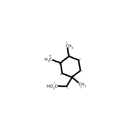 CC1CCC(C)(CC(=O)O)CC1C